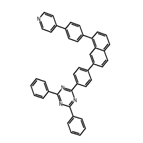 c1ccc(-c2nc(-c3ccccc3)nc(-c3ccc(-c4ccc5cccc(-c6ccc(-c7ccncc7)cc6)c5c4)cc3)n2)cc1